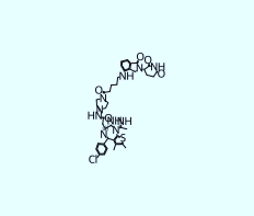 CC(=N)N1C(=N)[C@H](CC(=O)NN2CCN(C(=O)CCCCNc3cccc4c3CN(C3CCC(=O)NC3=O)C4=O)CC2)N=C(c2ccc(Cl)cc2)c2c1sc(C)c2C